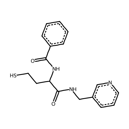 O=C(NC(CCS)C(=O)NCc1cccnc1)c1ccccc1